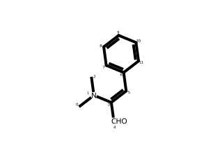 CN(C)C(C=O)=Cc1ccccc1